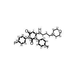 O=c1cc(NCCCN2CCOCC2)n(-c2ccc(F)cc2)c(=O)n1-c1ccc(F)cc1